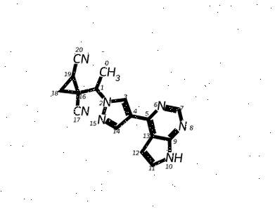 CC(n1cc(-c2ncnc3[nH]ccc23)cn1)C1(C#N)CC1C#N